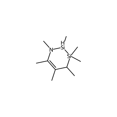 CC1=C(C)N(C)[SiH](C)[Si](C)(C)C1C